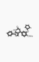 COc1ccc(C2CC(=O)Nc3c2cnn3-c2ccccc2)cc1OC1CCCC1